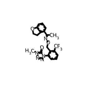 CC(=NOCc1c(-n2nnn(C)c2=O)cccc1C(F)(F)F)c1cccc2c1CCO2